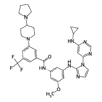 COc1cc(NC(=O)c2cc(N3CCC(N4CCCC4)CC3)cc(C(F)(F)F)c2)cc(Nc2nccn2-c2cc(NC3CC3)ncn2)c1